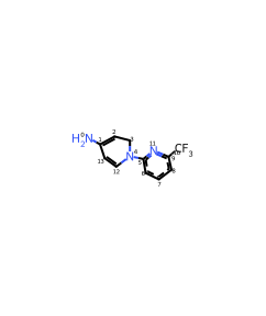 NC1=CCN(c2cccc(C(F)(F)F)n2)C=C1